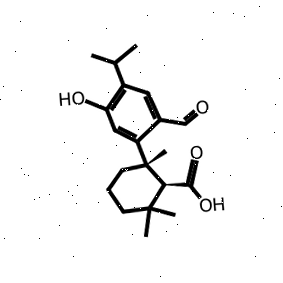 CC(C)c1cc(C=O)c([C@@]2(C)CCCC(C)(C)[C@@H]2C(=O)O)cc1O